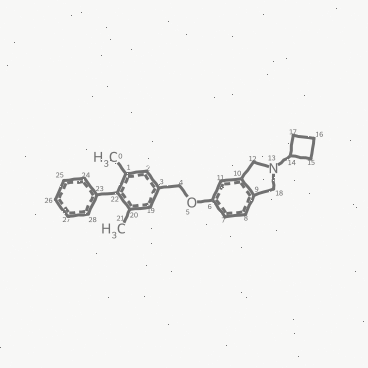 Cc1cc(COc2ccc3c(c2)CN(C2CCC2)C3)cc(C)c1-c1ccccc1